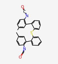 Cc1ccc(N=C=O)c(-c2ccccc2Sc2ccccc2-c2cc(C)ccc2N=C=O)c1